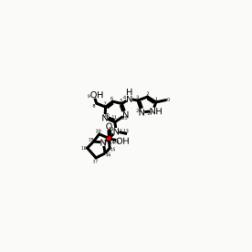 Cc1cc(Nc2cc(CO)nc(N(C)C3CC4CCC(C3)N4C(=O)O)n2)n[nH]1